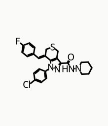 O=C(NN1CCCCC1)c1nn(-c2ccc(Cl)cc2)c2c1CSCC2=Cc1ccc(F)cc1